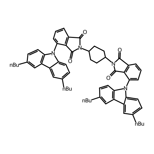 CCCCc1ccc2c(c1)c1cc(CCCC)ccc1n2-c1cccc2c1C(=O)N(C1CCC(N3C(=O)c4cccc(-n5c6ccc(CCCC)cc6c6cc(CCCC)ccc65)c4C3=O)CC1)C2=O